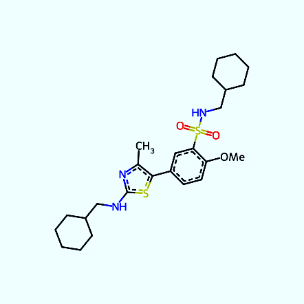 COc1ccc(-c2sc(NCC3CCCCC3)nc2C)cc1S(=O)(=O)NCC1CCCCC1